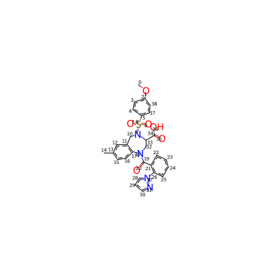 COc1ccc(S(=O)(=O)N2Cc3cc(C)ccc3N(C(=O)c3ccccc3-n3cccn3)CC2C(=O)O)cc1